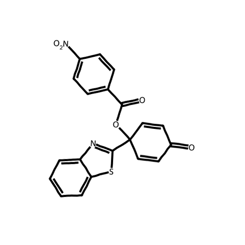 O=C1C=CC(OC(=O)c2ccc([N+](=O)[O-])cc2)(c2nc3ccccc3s2)C=C1